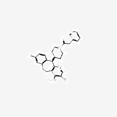 O=C(Cc1cccnc1)N1CCC(=C2c3ccc(Cl)cc3CCc3c2ncc(Br)c3O)CC1